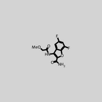 COCC(=O)Nc1c(C(N)=O)oc2c(F)cc(F)cc12